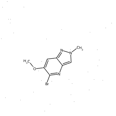 COc1cc2nn(C)cc2nc1Br